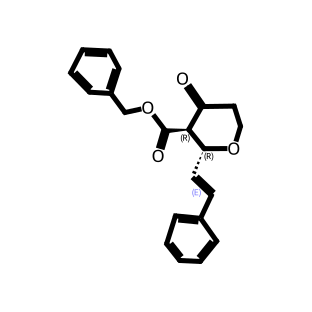 O=C1CCO[C@H](/C=C/c2ccccc2)[C@H]1C(=O)OCc1ccccc1